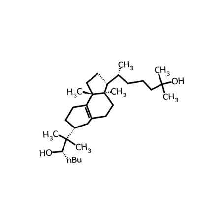 CCCC[C@H](O)C(C)(C)[C@@H]1CCC2=C(CC[C@]3(C)[C@@H]([C@H](C)CCCC(C)(C)O)CC[C@@]23C)C1